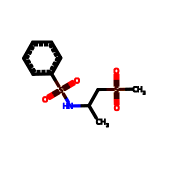 CC(CS(C)(=O)=O)NS(=O)(=O)c1ccccc1